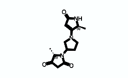 C[C@@H]1NC(=O)C=C1N1CCC(N2C(=O)CC(=O)[C@@H]2C)C1